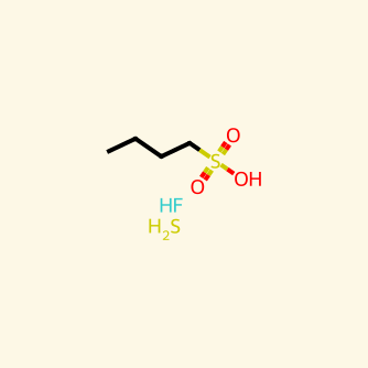 CCCCS(=O)(=O)O.F.S